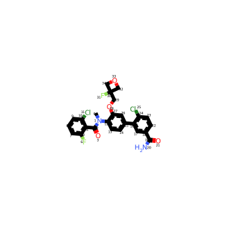 CN(C(=O)c1c(F)cccc1Cl)c1ccc(-c2cc(C(N)=O)ccc2Cl)cc1OCC1(F)COC1